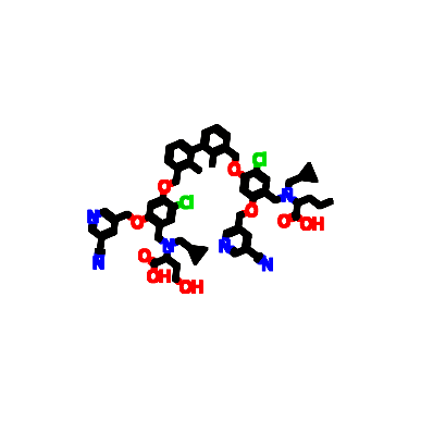 CCCC(C(=O)O)N(Cc1cc(Cl)c(OCc2cccc(-c3cccc(COc4cc(OCc5cncc(C#N)c5)c(CN(CC5CC5)C(CCO)C(=O)O)cc4Cl)c3C)c2C)cc1OCc1cncc(C#N)c1)CC1CC1